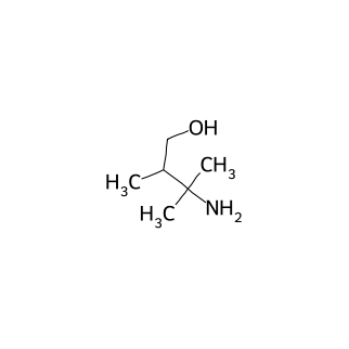 CC(CO)C(C)(C)N